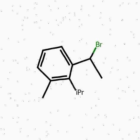 Cc1cccc(C(C)Br)c1C(C)C